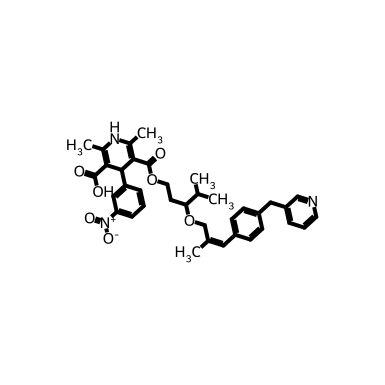 CC(=Cc1ccc(Cc2cccnc2)cc1)COC(CCOC(=O)C1=C(C)NC(C)=C(C(=O)O)C1c1cccc([N+](=O)[O-])c1)C(C)C